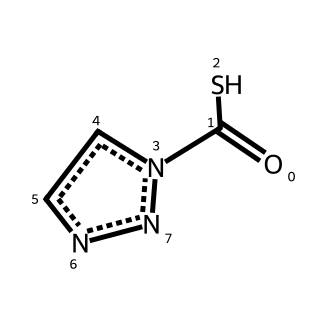 O=C(S)n1ccnn1